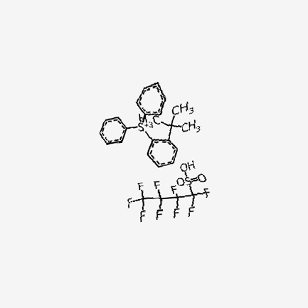 CC(C)(C)c1ccccc1[S+](c1ccccc1)c1ccccc1.O=S(=O)(O)C(F)(F)C(F)(F)C(F)(F)C(F)(F)F